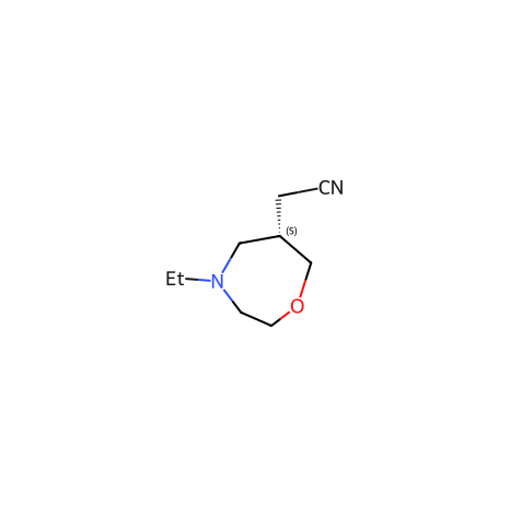 CCN1CCOC[C@@H](CC#N)C1